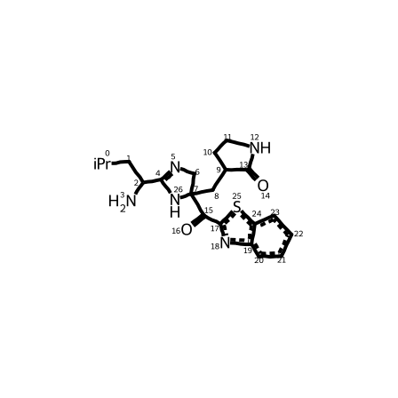 CC(C)CC(N)C1=NCC(CC2CCNC2=O)(C(=O)c2nc3ccccc3s2)N1